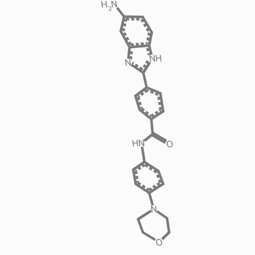 Nc1ccc2[nH]c(-c3ccc(C(=O)Nc4ccc(N5CCOCC5)cc4)cc3)nc2c1